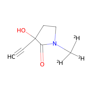 [2H]C([2H])([2H])N1CCC(O)(C#C)C1=O